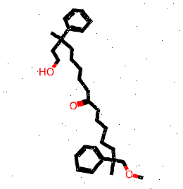 COCC(C)(CCCCCC(=O)CCCCCC(C)(CCO)c1ccccc1)c1ccccc1